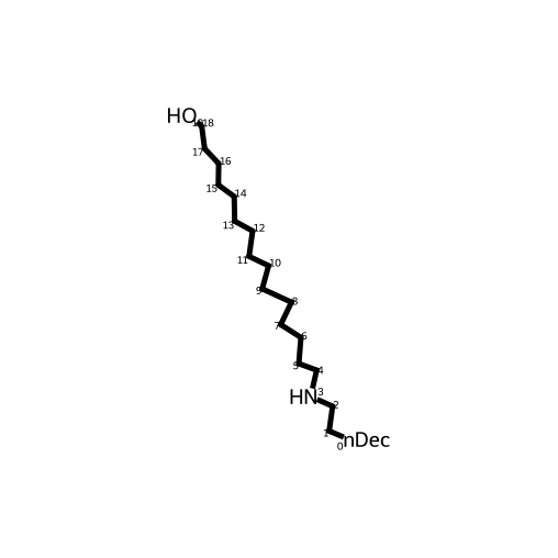 CCCCCCCCCCCCNCCCCCCCCCCCCCCCO